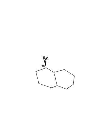 CC(=O)[C@@H]1CCCC2CCCCC21